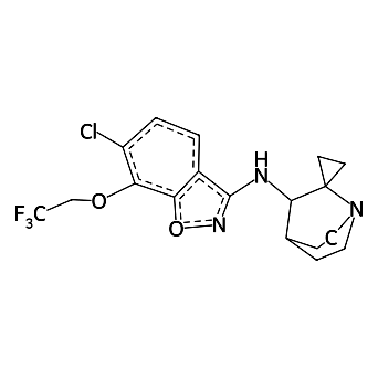 FC(F)(F)COc1c(Cl)ccc2c(NC3C4CCN(CC4)C34CC4)noc12